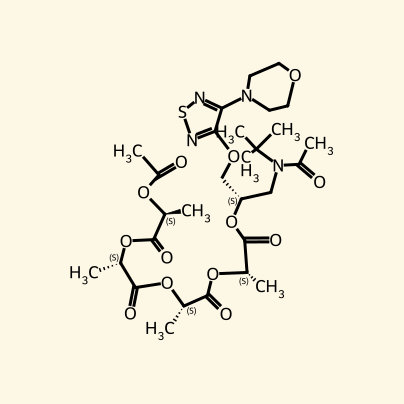 CC(=O)O[C@@H](C)C(=O)O[C@@H](C)C(=O)O[C@@H](C)C(=O)O[C@@H](C)C(=O)O[C@H](COc1nsnc1N1CCOCC1)CN(C(C)=O)C(C)(C)C